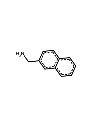 NCc1[c]c2ccccc2cc1